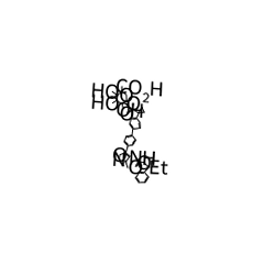 CC[C@@H](OC(=O)Nc1c(C)noc1-c1ccc(-c2ccc(C3(C(=O)OC4OC(C(=O)O)C(O)C(O)C4O)CC3)cc2)cc1)c1ccccc1